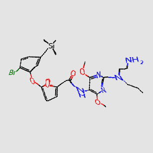 CCCN(CCN)c1nc(OC)c(NC(=O)c2ccc(Oc3cc([Si](C)(C)C)ccc3Br)o2)c(OC)n1